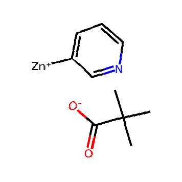 CC(C)(C)C(=O)[O-].[Zn+][c]1cccnc1